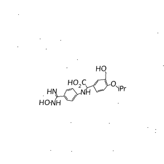 CC(C)Oc1ccc(C(Nc2ccc(C(=N)NO)cc2)C(=O)O)cc1CO